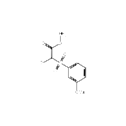 CCC(C(=O)ON)S(=O)(=O)c1cccc(OC)c1